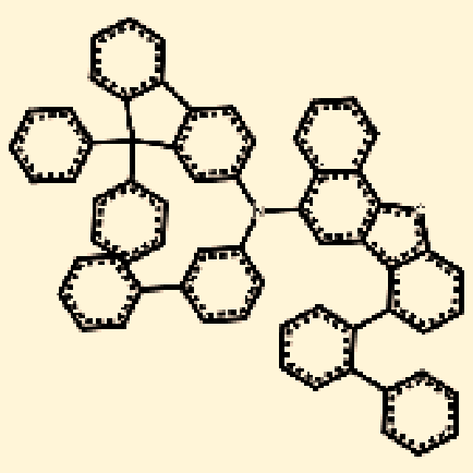 c1ccc(-c2cccc(N(c3ccc4c(c3)C(c3ccccc3)(c3ccccc3)c3ccccc3-4)c3cc4c(oc5cccc(-c6ccccc6-c6ccccc6)c54)c4ccccc34)c2)cc1